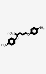 CCCCCCCCC(CCCOc1ccc(N)cc1)Oc1ccc(N)cc1